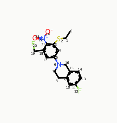 CCSc1cc(N2CCc3cc(F)ccc3C2)cc(CF)c1[N+](=O)[O-]